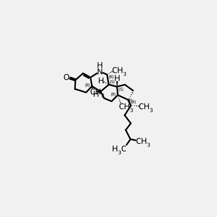 CC(C)CCC[C@@H](C)[C@H]1CC[C@H]2[C@@H]3[C@@H](C)NC4=CC(=O)CC[C@]4(C)[C@H]3CC[C@]12C